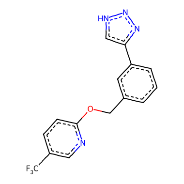 FC(F)(F)c1ccc(OCc2cccc(-c3c[nH]nn3)c2)nc1